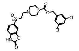 O=C(OCc1cc(Cl)cc(Cl)c1)N1CCN(CC[S@@+]([O-])c2ccc3[nH]c(=O)oc3c2)CC1